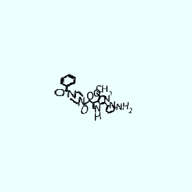 COc1cnc(-c2cccc(N)n2)c2[nH]cc(C(=O)C(=O)N3CCN(C(=O)c4ccccc4)CC3)c12